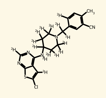 [2H]c1nc(N([2H])C2([2H])C([2H])([2H])C([2H])([2H])N(C([2H])([2H])c3cc(C#N)c(C)cc3[2H])C([2H])([2H])C2([2H])[2H])c2c([2H])c(Cl)sc2n1